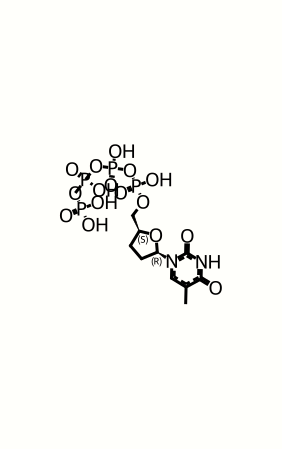 Cc1cn([C@H]2CC[C@@H](COP(=O)(O)OP(=O)(O)OP(=O)(O)OP(=O)(O)O)O2)c(=O)[nH]c1=O